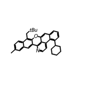 Cc1ccc2c(CC(C)(C)C)c3c(cc2c1)-c1nccc2c1c(cc1cccc(C4CCCCC4)c12)O3